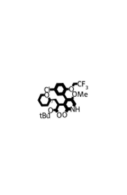 COc1c[nH]c(=O)c(C(C[C@H]2CCCCO2)C(=O)OC(C)(C)C)c1-c1cc(Cl)ccc1OCC(F)(F)F